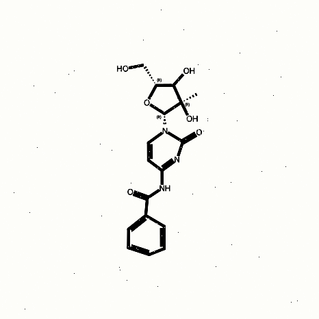 C[C@@]1(O)C(O)[C@@H](CO)O[C@H]1n1ccc(NC(=O)c2ccccc2)nc1=O